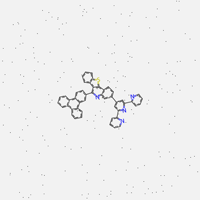 c1ccc(-c2cc(-c3ccc4c(c3)nc(-c3ccc5c6ccccc6c6ccccc6c5c3)c3c5ccccc5sc43)cc(-c3ccccn3)n2)nc1